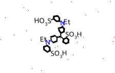 CCN(c1ccc(C(=C2C=CC(N(CC)c3cccc(S(=O)(=O)O)c3)C=C2)c2ccccc2S(=O)(=O)O)cc1)c1cccc(S(=O)(=O)O)c1